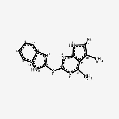 CCc1[nH]c2nc(Sc3nc4ccccc4[nH]3)nc(N)c2c1C